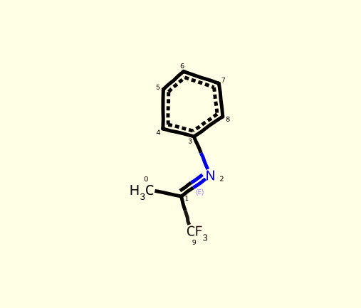 C/C(=N\c1ccccc1)C(F)(F)F